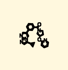 O=C(c1cccc(-c2cnc3ncc(C4CC4)n3c2)c1)N1CC[C@H](Oc2ccccn2)C1